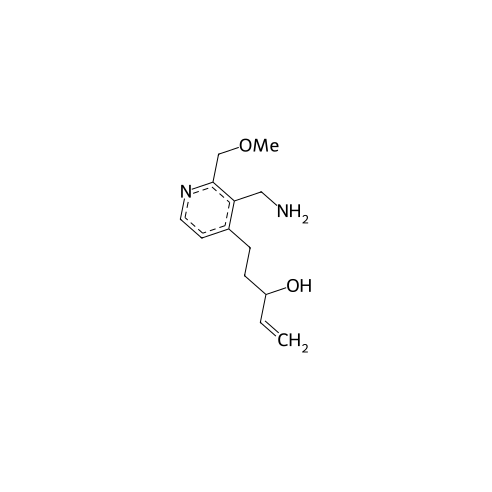 C=CC(O)CCc1ccnc(COC)c1CN